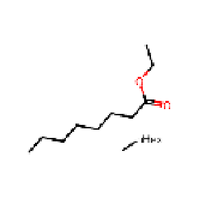 CCCCCCC.CCCCCCCC(=O)OCC